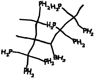 BC(C(P)(P)C(C)(P)P)C(C)(C(C)(C)P)C(P)(P)P